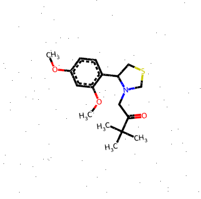 COc1ccc(C2CSCN2CC(=O)C(C)(C)C)c(OC)c1